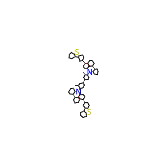 Cc1cc(-c2ccc(N(c3ccc(-c4ccc5sc6ccccc6c5c4)cc3)c3ccccc3-c3ccccc3)c(C)c2)ccc1N(c1ccc(-c2ccc3sc4ccccc4c3c2)cc1)c1ccccc1-c1ccccc1